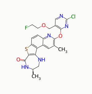 Cc1cc2c(ccc3sc4c(c32)NC[C@@H](C)NC4=O)nc1Oc1nc(Cl)ncc1COCCF